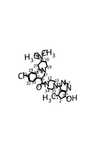 CC1C[C@@H](O)c2ncnc(N3CCN(C(=O)[C@H](CN4CCC(N(C)C)CC4)c4ccc(Cl)cc4)CC3)c21